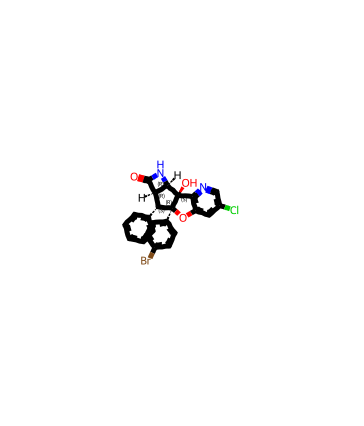 O=C1N[C@@H]2[C@H]1[C@@H](c1ccccc1)[C@]1(c3ccc(Br)cc3)Oc3cc(Cl)cnc3[C@@]21O